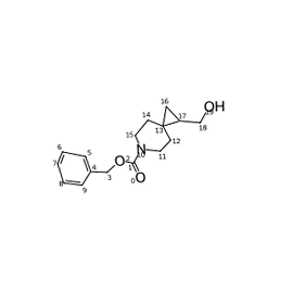 O=C(OCc1ccccc1)N1CCC2(CC1)CC2CO